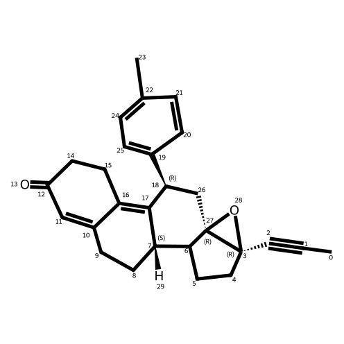 CC#C[C@]12CCC3[C@@H]4CCC5=CC(=O)CCC5=C4[C@@H](c4ccc(C)cc4)C[C@@]31O2